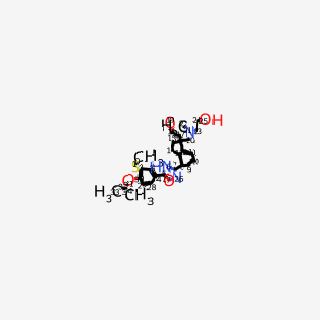 CSc1cc(C2NC(c3cccc4c3CCC4(CC=O)CN(C)CCO)=NO2)ccc1OC(C)C